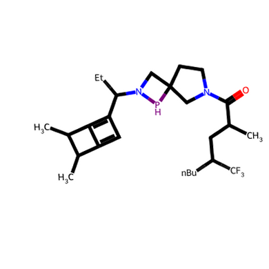 CCCCC(CC(C)C(=O)N1CCC2(C1)CN(C(CC)C1=C3C(=C1)C(C)C3C)P2)C(F)(F)F